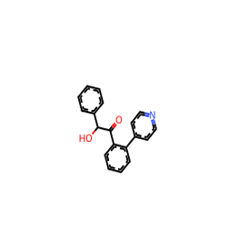 O=C(c1ccccc1-c1ccncc1)C(O)c1ccccc1